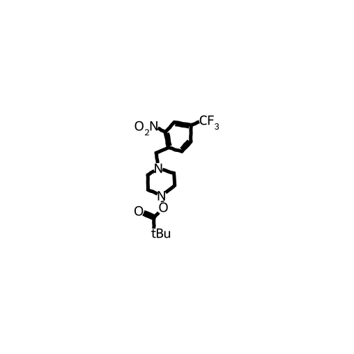 CC(C)(C)C(=O)ON1CCN(Cc2ccc(C(F)(F)F)cc2[N+](=O)[O-])CC1